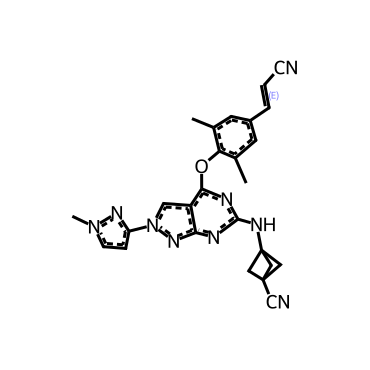 Cc1cc(/C=C/C#N)cc(C)c1Oc1nc(NC23CC(C#N)(C2)C3)nc2nn(-c3ccn(C)n3)cc12